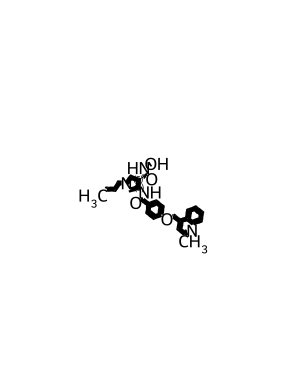 CCCCN1C[C@H](C(=O)NO)[C@H](NC(=O)c2ccc(OCc3cc(C)nc4ccccc34)cc2)C1